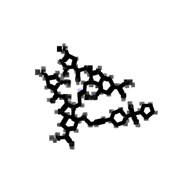 CCn1nc(C)cc1C(=O)Nc1nc2cc(C(N)=O)cc(OC)c2n1C/C=C/Cn1c(NC(=O)c2cc(C)nn2CC)nc2cc(C(N)=O)cc(OCC#CC3CCN(S(=O)(=O)C4CCCC4)CC3)c21